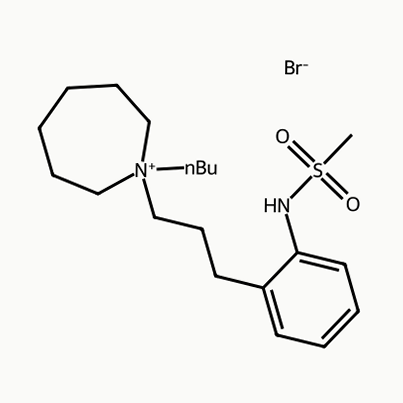 CCCC[N+]1(CCCc2ccccc2NS(C)(=O)=O)CCCCCC1.[Br-]